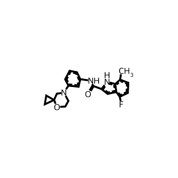 Cc1ccc(F)c2cc(C(=O)Nc3cccc(N4CCOC5(CC5)C4)c3)[nH]c12